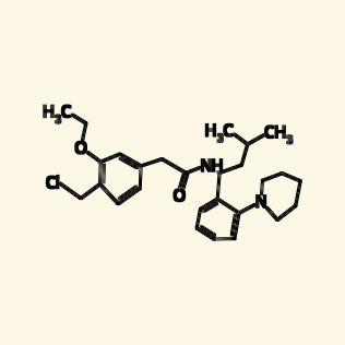 CCOc1cc(CC(=O)NC(CC(C)C)c2ccccc2N2CCCCC2)ccc1CCl